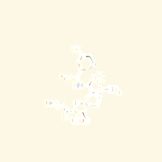 CC(C)(C)C(NC(=O)O)(C(=O)N1CC2C(C)(C)C2(C(=O)NC(C#N)c2cncc(Br)c2)C1)C(C)(C)C